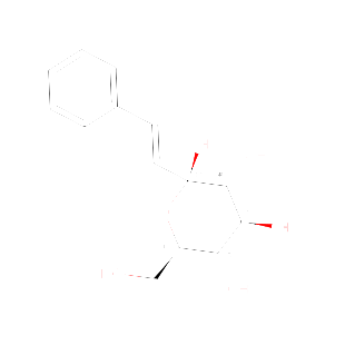 OC[C@H]1O[C@](O)(C=Cc2ccccc2)[C@H](O)[C@@H](O)[C@@H]1O